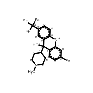 CN1CCC(C2(O)c3ccc(F)cc3Sc3ccc(C(F)(F)F)cc32)CC1